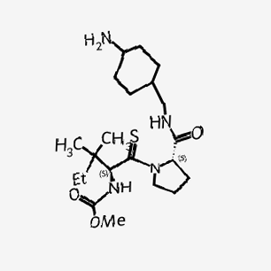 CCC(C)(C)[C@H](NC(=O)OC)C(=S)N1CCC[C@H]1C(=O)NCC1CCC(N)CC1